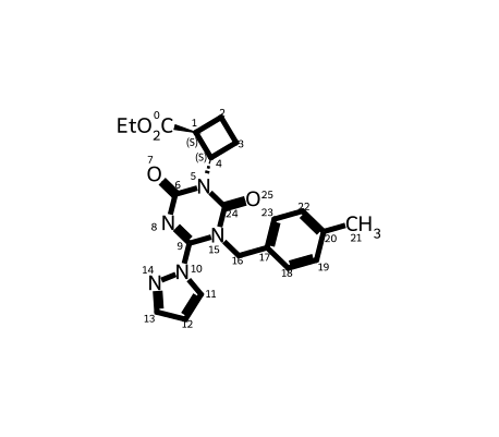 CCOC(=O)[C@H]1CC[C@@H]1n1c(=O)nc(-n2cccn2)n(Cc2ccc(C)cc2)c1=O